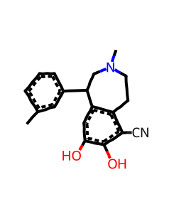 Cc1cccc(C2CN(C)CCc3c2cc(O)c(O)c3C#N)c1